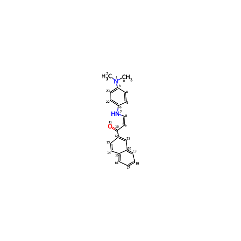 CN(C)c1ccc(N/C=C\C(=O)c2ccc3ccccc3c2)cc1